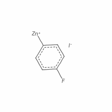 Fc1cc[c]([Zn+])cc1.[I-]